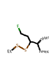 CCCCCCC(CCCCCC)C(CCF)SSCC